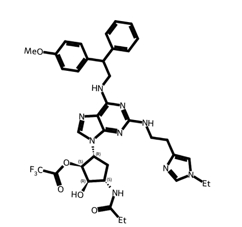 CCC(=O)N[C@H]1C[C@@H](n2cnc3c(NCC(c4ccccc4)c4ccc(OC)cc4)nc(NCCc4cn(CC)cn4)nc32)[C@H](OC(=O)C(F)(F)F)[C@@H]1O